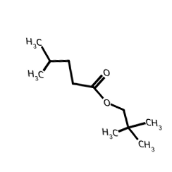 CC(C)CCC(=O)OCC(C)(C)C